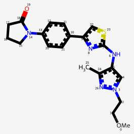 COCCn1cc(Nc2nc(-c3ccc(N4CCCC4=O)cc3)cs2)c(C)n1